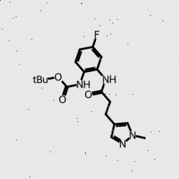 Cn1cc(CCC(=O)Nc2cc(F)ccc2NC(=O)OC(C)(C)C)cn1